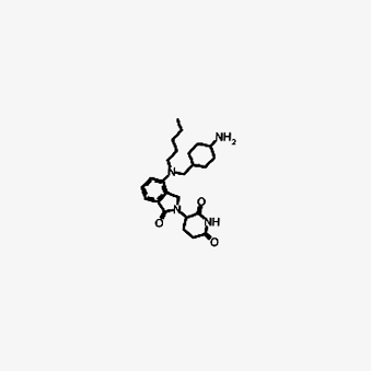 CCCCCN(CC1CCC(N)CC1)c1cccc2c1CN(C1CCC(=O)NC1=O)C2=O